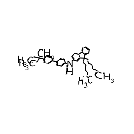 CCCCCCC1(CCCCCC)c2ccccc2-c2ccc(Nc3ccc(-c4ccc(C(C)(CC)CC)cc4)cc3)cc21